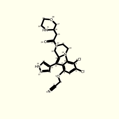 N#CCOc1cc(Cl)c(Cl)c2c1c(-c1cn[nH]c1)c1n2CCN(C(=O)CC2COCCN2)C1